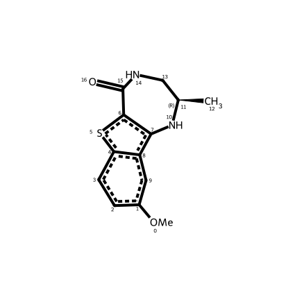 COc1ccc2sc3c(c2c1)N[C@H](C)CNC3=O